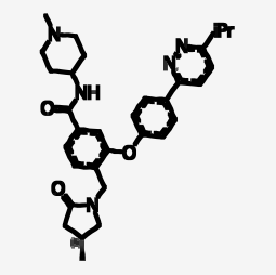 CC(C)c1ccc(-c2ccc(Oc3cc(C(=O)NC4CCN(C)CC4)ccc3CN3C[C@@H](C)CC3=O)cc2)nn1